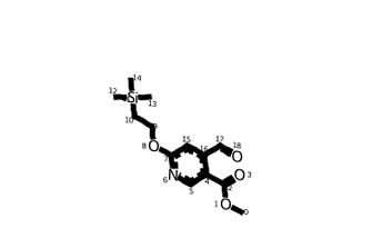 COC(=O)c1cnc(OCC[Si](C)(C)C)cc1C=O